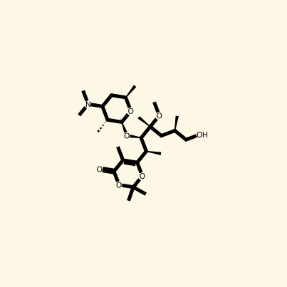 CO[C@](C)(C[C@@H](C)CO)[C@H](O[C@@H]1O[C@H](C)CC(N(C)C)[C@H]1C)[C@@H](C)C1=C(C)C(=O)OC(C)(C)O1